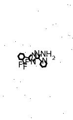 Nc1nn2cc(-c3ccccc3C(F)(F)F)cnc2c1-c1ccccn1